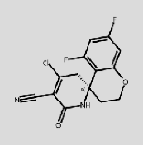 N#CC1=C(Cl)C[C@]2(CCOc3cc(F)cc(F)c32)NC1=O